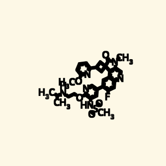 COc1cccc(C2CC3(C2)C(=O)N(C)c2cnc4cc(F)c(-c5cnc(OCCNC(C)C)c(NS(C)(=O)=O)c5)cc4c23)n1